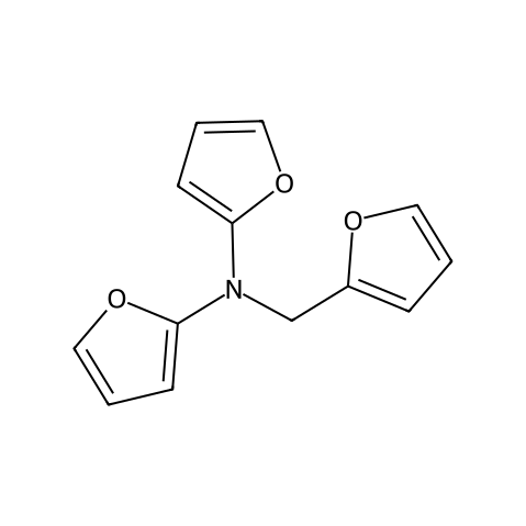 c1coc(CN(c2ccco2)c2ccco2)c1